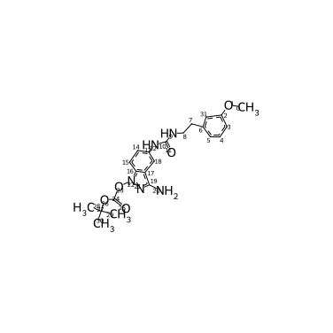 COc1cccc(CCNC(=O)Nc2ccc3c(c2)c(N)nn3OC(=O)OC(C)(C)C)c1